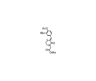 COC(=O)CN1CCS/C(=C\c2ccc(OC(C)=O)c(C(C)(C)C)c2)C1=O